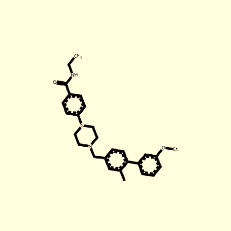 CCOc1cccc(-c2ccc(CN3CCN(c4ccc(C(=O)NCC(F)(F)F)cc4)CC3)cc2C)c1